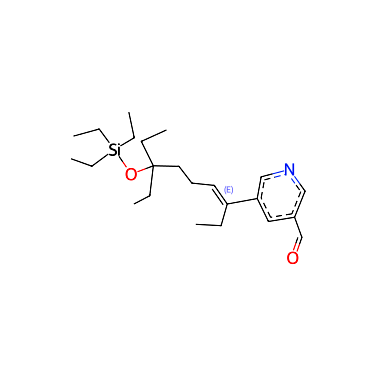 CC/C(=C\CCC(CC)(CC)O[Si](CC)(CC)CC)c1cncc(C=O)c1